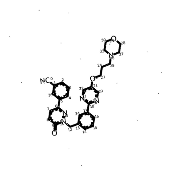 N#Cc1cccc(-c2ccc(=O)n(Cc3cccc(-c4ncc(OCCCN5CCOCC5)cn4)c3)n2)c1